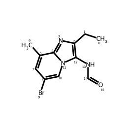 CCc1nc2c(C)cc(Br)cn2c1NC=O